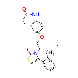 Cc1ccccc1-c1csc(=O)n1CCOc1ccc2c(c1)CCC(=O)N2